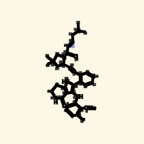 COc1c(F)cccc1Nc1c(-c2ccncc2C#C[C@H]2CC(C)(C)CN2C(=O)/C=C/CN(C)C)[nH]c2c1C(=O)NCC2